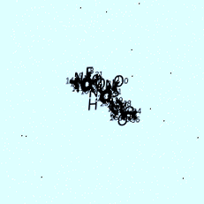 COc1nc2c(C(=O)Nc3cn4cc(C)nc4c(F)c3OC)ccc(N3C[C@H](C)N(C(=O)OC(C)(C)C)[C@@H](C)C3)c2s1